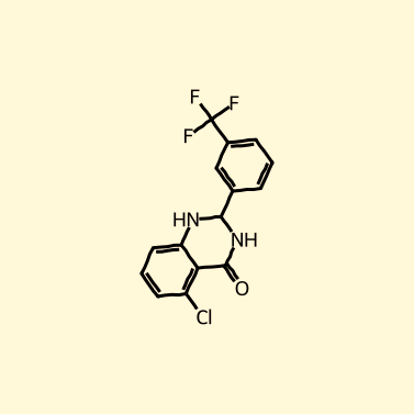 O=C1NC(c2cccc(C(F)(F)F)c2)Nc2cccc(Cl)c21